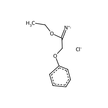 CCOC(=[N+])COc1ccccc1.[Cl-]